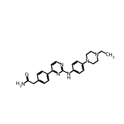 CCN1CCN(c2ccc(Nc3nccc(-c4ccc(CC(N)=O)cc4)n3)cc2)CC1